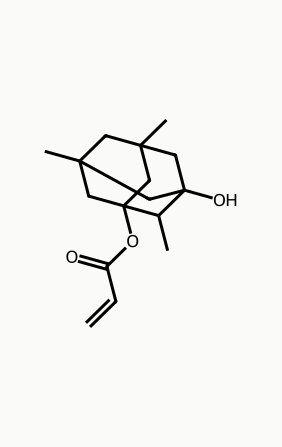 C=CC(=O)OC12CC3(C)CC(C)(CC(O)(C3)C1C)C2